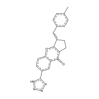 Cc1ccc(C=C2CCc3c2oc2ccc(-c4nnn[nH]4)cc2c3=O)cc1